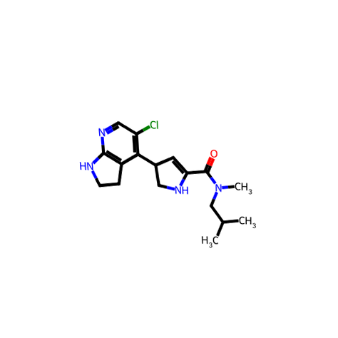 CC(C)CN(C)C(=O)C1=CC(c2c(Cl)cnc3c2CCN3)CN1